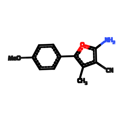 COc1ccc(-c2oc(N)c(C#N)c2C)cc1